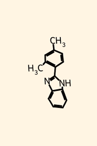 Cc1ccc(-c2nc3ccccc3[nH]2)c(C)c1